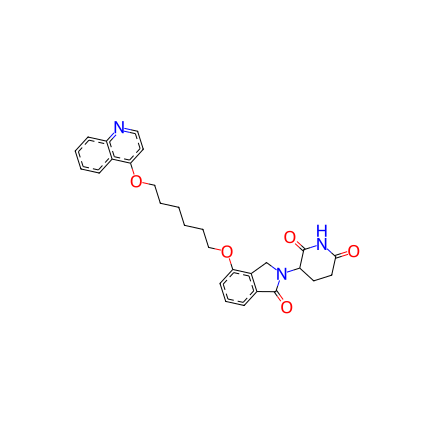 O=C1CCC(N2Cc3c(OCCCCCCOc4ccnc5ccccc45)cccc3C2=O)C(=O)N1